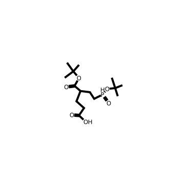 CC(C)(C)OC(=O)C(CCC(=O)O)CC[PH](=O)OC(C)(C)C